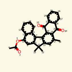 CC(=O)Oc1cc2c(c3ccccc13)-c1c(cc(C)c3c1C(=O)c1ccccc1C3=O)C2(C)C